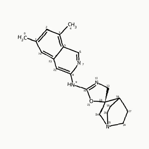 Cc1cc(C)c2cnc(NC3=NC[C@@]4(CN5CCC4CC5)O3)cc2c1